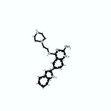 Nc1nc(OCCN2CCOCC2)c2cc(-c3cc4ccccc4o3)ccc2n1